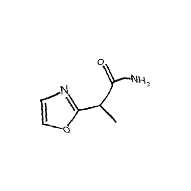 CC(C(N)=O)c1ncco1